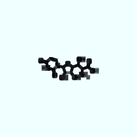 NC(C(=O)O)C(O)C1OC(n2ccc(=O)[nH]c2=O)C(O)C1O